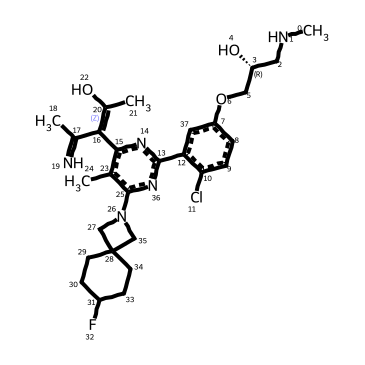 CNC[C@@H](O)COc1ccc(Cl)c(-c2nc(/C(C(C)=N)=C(\C)O)c(C)c(N3CC4(CCC(F)CC4)C3)n2)c1